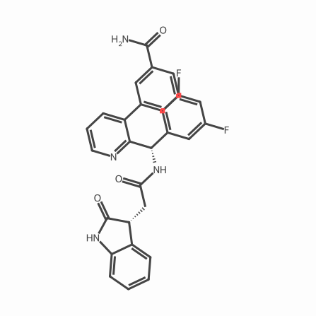 NC(=O)c1cccc(-c2cccnc2[C@@H](NC(=O)C[C@H]2C(=O)Nc3ccccc32)c2cc(F)cc(F)c2)c1